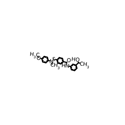 COc1ccc(N(C)Sc2ccc(C(=O)Nc3cccc(C(C)O)c3)cc2)cc1